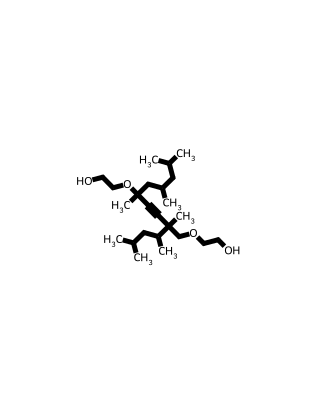 CC(C)CC(C)CC(C)(C#CC(C)(COCCO)C(C)CC(C)C)OCCO